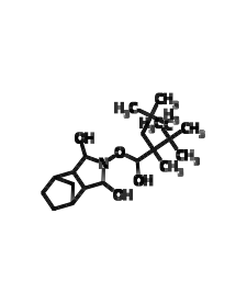 CC(C)(C)CC(C)(C(O)ON1C(O)C2C3CCC(C3)C2C1O)C(C)(C)C